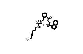 C=CC#CCCCNC(=O)C(=O)NCc1ccccc1C(=O)CCC1(c2cccc3ccccc23)CC1